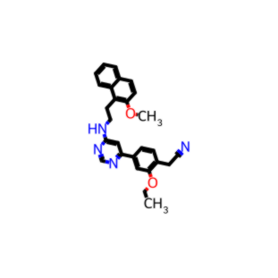 CCOc1cc(-c2cc(NCCc3c(OC)ccc4ccccc34)ncn2)ccc1CC#N